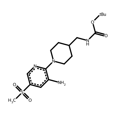 CC(C)(C)OC(=O)NCC1CCN(c2ncc(S(C)(=O)=O)cc2N)CC1